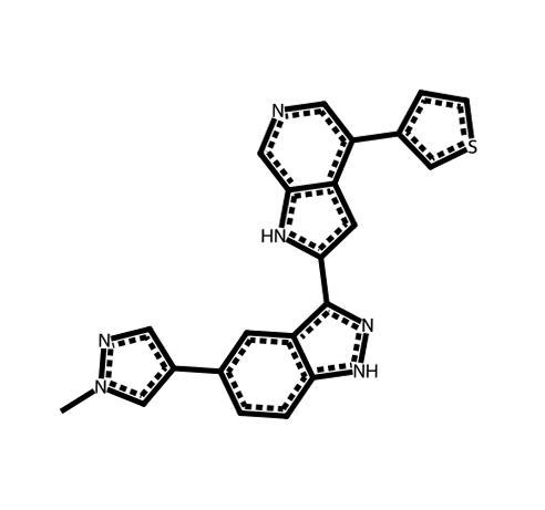 Cn1cc(-c2ccc3[nH]nc(-c4cc5c(-c6ccsc6)cncc5[nH]4)c3c2)cn1